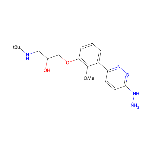 COc1c(OCC(O)CNC(C)(C)C)cccc1-c1ccc(NN)nn1